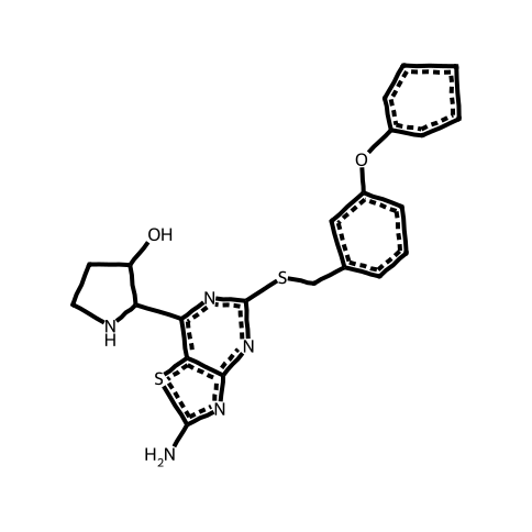 Nc1nc2nc(SCc3cccc(Oc4ccccc4)c3)nc(C3NCCC3O)c2s1